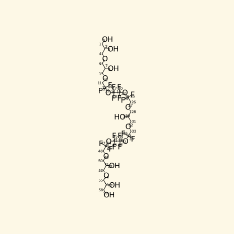 OCC(O)COCC(O)COCC(F)(F)OC(F)(F)C(F)(F)OC(F)(F)COCC(O)COCC(F)(F)OC(F)(F)C(F)(F)OC(F)(F)COCC(O)COCC(O)CO